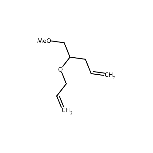 C=CCOC(CC=C)COC